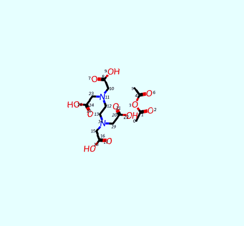 CC(=O)OC(C)=O.O=C(O)CN(CCN(CC(=O)O)CC(=O)O)CC(=O)O